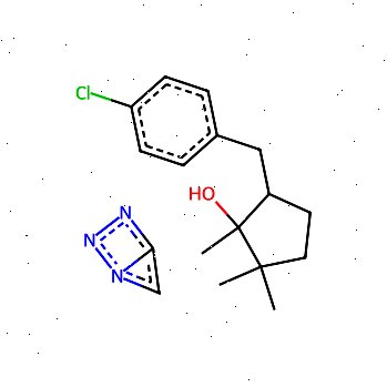 CC1(C)CCC(Cc2ccc(Cl)cc2)C1(C)O.c1c2nnn1-2